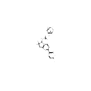 CCOc1ccc(-c2ccc3c(c2)CC(C)(C)C3NC(=O)O[C@H]2CN3CCC2CC3)cn1